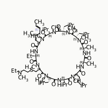 C/C=C/C[C@@H](C)C[C@@H]1C(=O)N[C@H](CC)C(=O)N(C)[C@H](CSCCN(C)CC)C(=O)N(C)[C@@H](CC(C)C)C(=O)N[C@H](C(C)C)C(=O)N(C)[C@H](CCC(C)C)C(=O)N[C@H](C)C(=O)N[C@H](C)C(=O)N(C)[C@@H](CC(C)C)C(=O)N(C)[C@@H](CC(C)C)C(=O)N(C)[C@H](C(C)C)C(=O)N1C